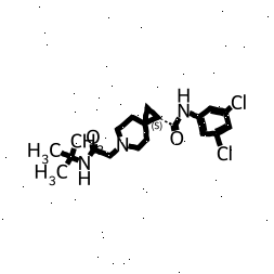 CC(C)(C)NC(=O)CN1CCC2(CC1)C[C@@H]2C(=O)Nc1cc(Cl)cc(Cl)c1